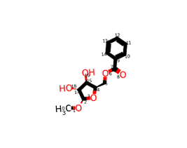 CO[C@H]1O[C@H](COC(=O)c2ccccc2)[C@H](O)[C@H]1O